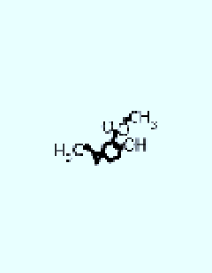 CCOC(=O)C1=C(O)CCC2(C1)CC2CC